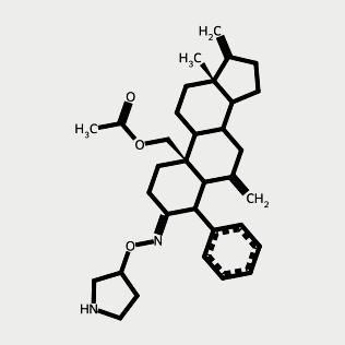 C=C1CC2C(CC[C@]3(C)C(=C)CCC23)[C@@]2(COC(C)=O)CCC(=NOC3CCNC3)C(c3ccccc3)C12